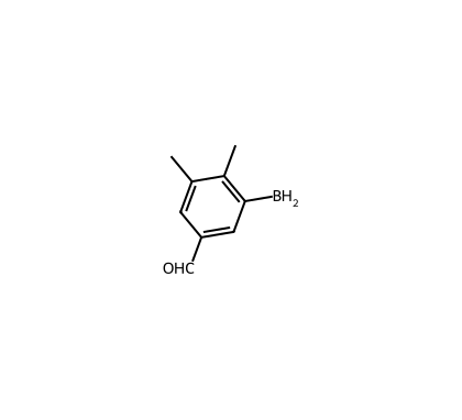 Bc1cc(C=O)cc(C)c1C